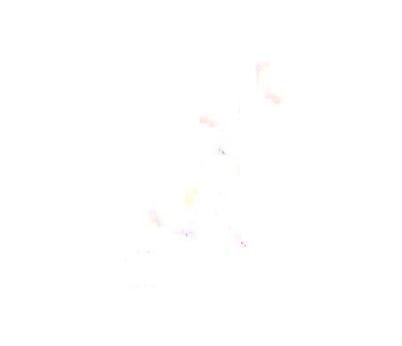 COC(=O)CCC(=O)N1CCc2c(sc(NC(=O)c3ccccc3)c2C#N)C1